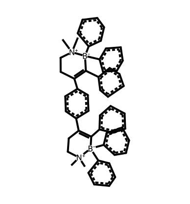 C[N+]1(C)CCC(c2ccc(C3=C(c4ccccc4)[B-](c4ccccc4)(c4ccccc4)[N+](C)(C)CC3)cc2)=C(c2ccccc2)[B-]1(c1ccccc1)c1ccccc1